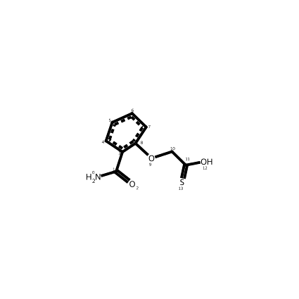 NC(=O)c1ccccc1OCC(O)=S